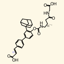 C[C@H](CNC(=O)Oc1ccc(-c2ccc(/C=C/C(=O)O)cc2)cc1C12CC3CC(CC(C3)C1)C2)CC(=O)NCC(=O)O